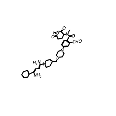 CN(C(=O)c1ccc(N2CCN(CC3CCN(/C(N)=C/C=C(\N)C4CCCCC4)CC3)CC2)cc1C=O)C1CCC(=O)NC1=O